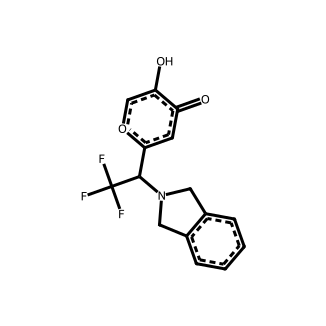 O=c1cc(C(N2Cc3ccccc3C2)C(F)(F)F)occ1O